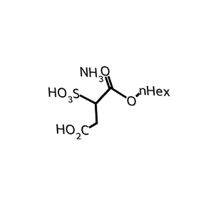 CCCCCCOC(=O)C(CC(=O)O)S(=O)(=O)O.N